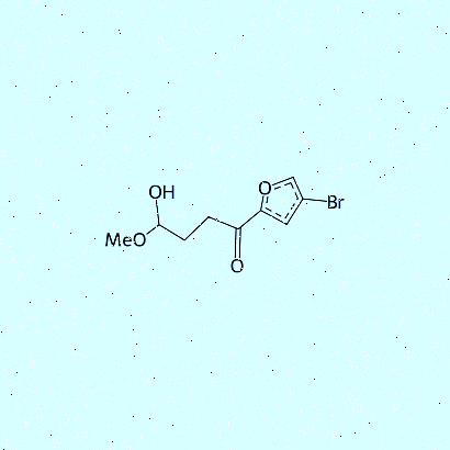 COC(O)CCC(=O)c1cc(Br)co1